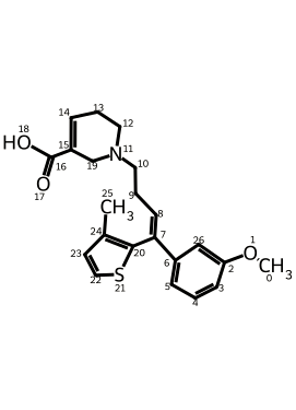 COc1cccc(C(=CCCN2CCC=C(C(=O)O)C2)c2sccc2C)c1